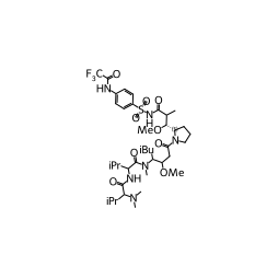 CCC(C)C(C(CC(=O)N1CCC[C@H]1C(OC)C(C)C(=O)NS(=O)(=O)c1ccc(NC(=O)C(F)(F)F)cc1)OC)N(C)C(=O)C(NC(=O)C(C(C)C)N(C)C)C(C)C